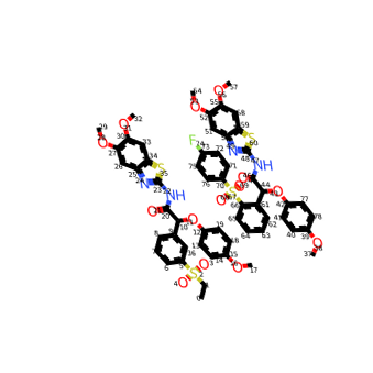 CCS(=O)(=O)c1cccc(C(Oc2ccc(OC)cc2)C(=O)Nc2nc3cc(OC)c(OC)cc3s2)c1.COc1ccc(OC(C(=O)Nc2nc3cc(OC)c(OC)cc3s2)c2ccccc2S(=O)(=O)c2ccc(F)cc2)cc1